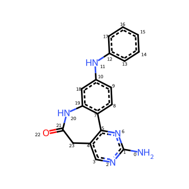 Nc1ncc2c(n1)-c1ccc(Nc3ccccc3)cc1NC(=O)C2